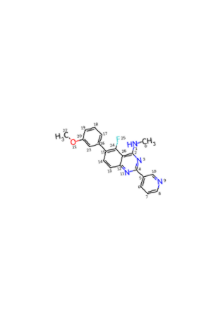 CNc1nc(-c2cccnc2)nc2ccc(-c3cccc(OC)c3)c(F)c12